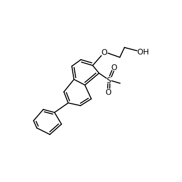 CS(=O)(=O)c1c(OCCO)ccc2cc(-c3ccccc3)ccc12